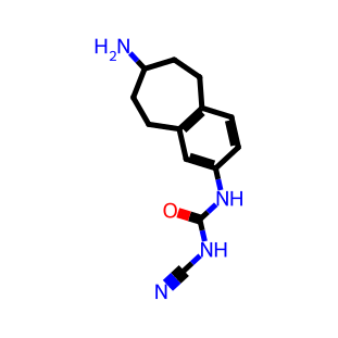 N#CNC(=O)Nc1ccc2c(c1)CCC(N)CC2